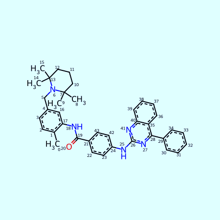 Cc1ccc(CN2C(C)(C)CCCC2(C)C)cc1NC(=O)c1ccc(Nc2nc(-c3ccccc3)c3ccccc3n2)cc1